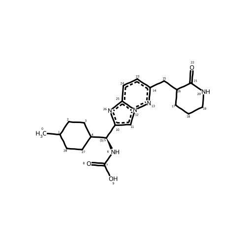 CC1CCC([C@H](NC(=O)O)c2cn3nc(CC4CCCNC4=O)ccc3n2)CC1